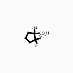 CCC1(C(=O)O)CCCC1(F)F